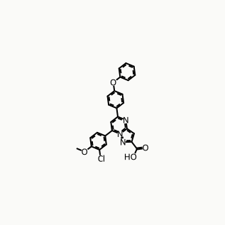 COc1ccc(-c2cc(-c3ccc(Oc4ccccc4)cc3)nc3cc(C(=O)O)nn23)cc1Cl